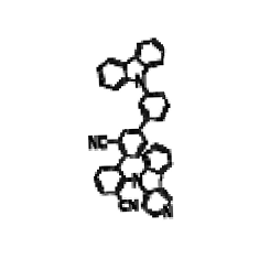 N#Cc1cc(-c2cccc(-n3c4ccccc4c4ccccc43)c2)ccc1-c1cccc(C#N)c1-n1c2ccccc2c2cnccc21